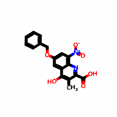 Cc1c(C(=O)O)nc2c([N+](=O)[O-])cc(OCc3ccccc3)cc2c1O